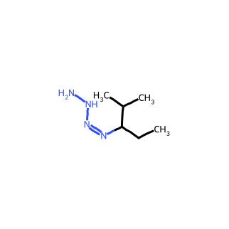 CCC(/N=N\NN)C(C)C